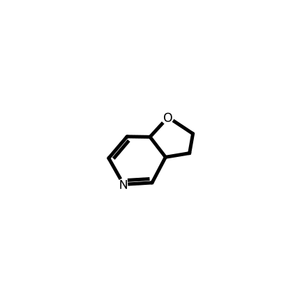 C1=CC2OCCC2C=N1